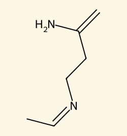 C=C(N)CC/N=C\C